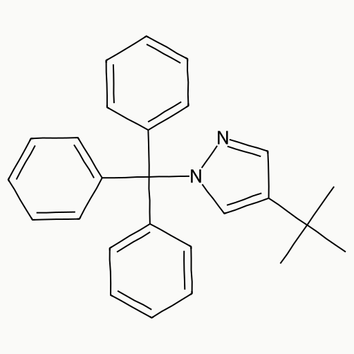 CC(C)(C)c1cnn(C(c2ccccc2)(c2ccccc2)c2ccccc2)c1